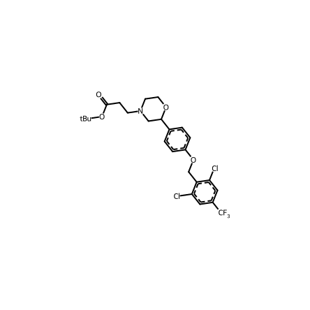 CC(C)(C)OC(=O)CCN1CCOC(c2ccc(OCc3c(Cl)cc(C(F)(F)F)cc3Cl)cc2)C1